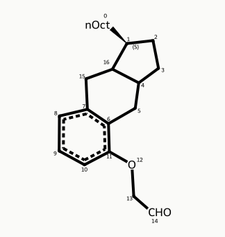 CCCCCCCC[C@H]1CCC2Cc3c(cccc3OCC=O)CC21